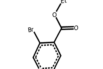 CCOC(=O)c1ccncc1Br